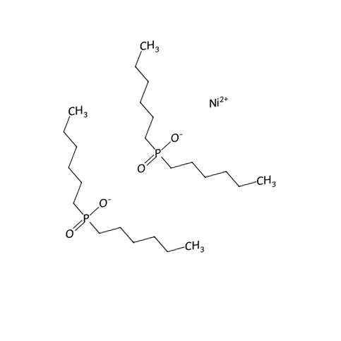 CCCCCCP(=O)([O-])CCCCCC.CCCCCCP(=O)([O-])CCCCCC.[Ni+2]